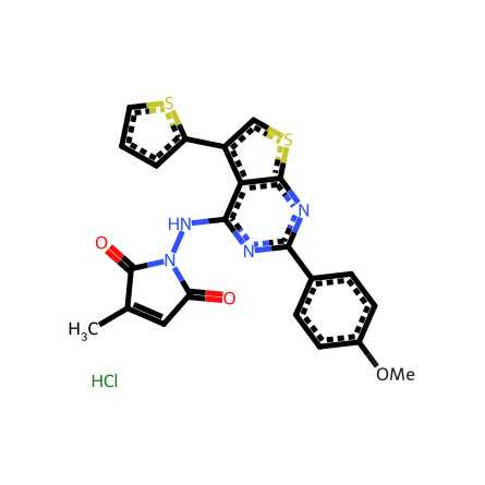 COc1ccc(-c2nc(NN3C(=O)C=C(C)C3=O)c3c(-c4cccs4)csc3n2)cc1.Cl